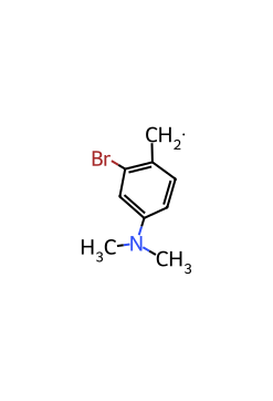 [CH2]c1ccc(N(C)C)cc1Br